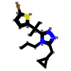 CCCn1c(CC2CC2)nnc1C(C)(C)c1ccc(Br)s1